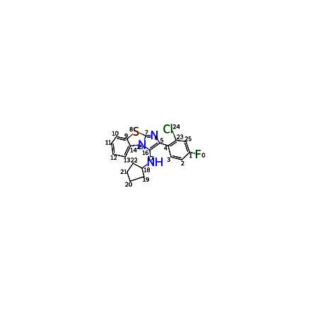 Fc1ccc(-c2nc3sc4ccccc4n3c2NC2CCCC2)c(Cl)c1